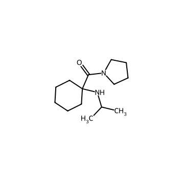 CC(C)NC1(C(=O)N2CCCC2)CCCCC1